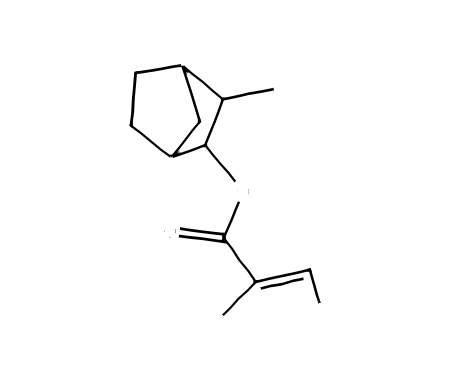 CC=C(C)C(=O)OC1C2CCC(C2)C1C